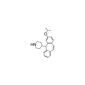 CC(C)Oc1ccc2c(c1)C(C1CCNCC1)c1ccccc1C=C2